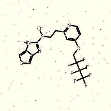 [O-][S+](CCc1cc(OCC(F)(F)C(F)(F)C(F)(F)F)ccn1)c1nc2cscc2[nH]1